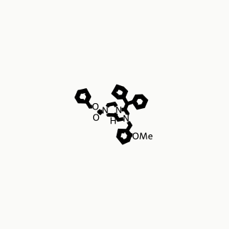 COc1ccccc1CN1CC(C(c2ccccc2)c2ccccc2)N2CCN(C(=O)OCc3ccccc3)C[C@H]2C1